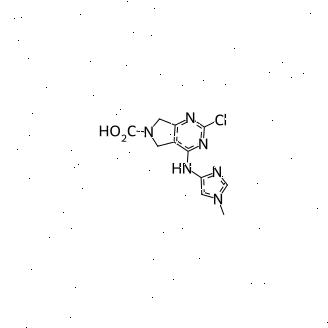 Cn1cnc(Nc2nc(Cl)nc3c2CN(C(=O)O)C3)c1